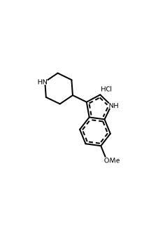 COc1ccc2c(C3CCNCC3)c[nH]c2c1.Cl